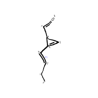 CC/C=C/C1=CC1C=O